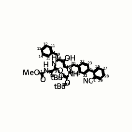 COC(=O)N[C@H](C(=O)N[C@@H](Cc1ccccc1)[C@@H](O)CN(Cc1ccc(-c2ccccc2C#N)cc1)NC(=O)OC(C)(C)C)C(C)(C)C